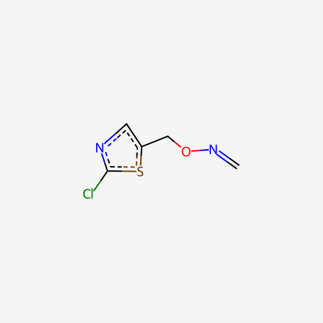 C=NOCc1cnc(Cl)s1